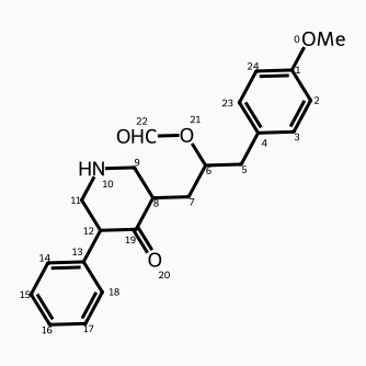 COc1ccc(CC(CC2CNCC(c3ccccc3)C2=O)OC=O)cc1